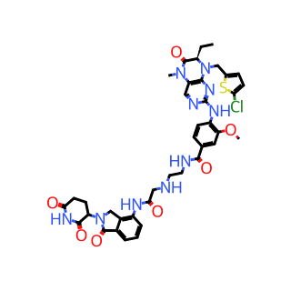 CC[C@@H]1C(=O)N(C)c2cnc(Nc3ccc(C(=O)NCCNCC(=O)Nc4cccc5c4CN(C4CCC(=O)NC4=O)C5=O)cc3OC)nc2N1Cc1ccc(Cl)s1